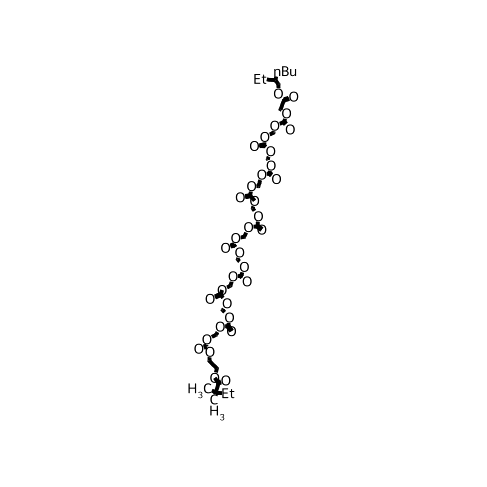 CCCCC(CC)COC(=O)COC(=O)OCOC(=O)OCOC(=O)OCOC(=O)OCOC(=O)OCOC(=O)OCOC(=O)OCOC(=O)OCOC(=O)OCOC(=O)OCCOC(=O)C(C)(C)CC